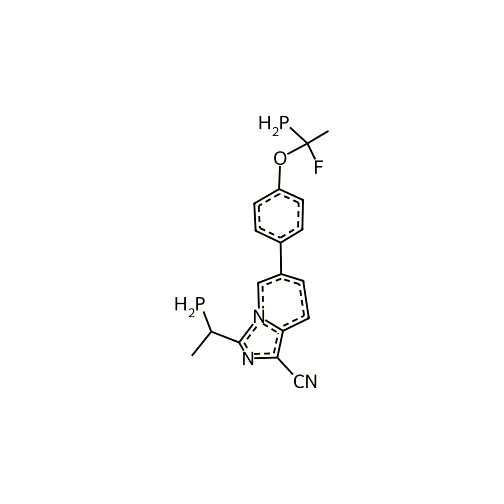 CC(P)c1nc(C#N)c2ccc(-c3ccc(OC(C)(F)P)cc3)cn12